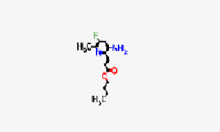 CCCCOC(=O)/C=C/c1nc(C)c(F)cc1N